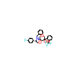 O[C@]1(c2ccccc2C(F)(F)F)COCC2(C1)OC[C@H](c1ccc(F)cc1)N2Cc1ccccc1